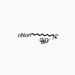 CCCCCCCCCCCCCCCCCC[N+](C)(C)C.[O-][Br+][O-]